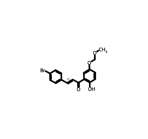 COCOc1ccc(O)c(C(=O)/C=C/c2ccc(Br)cc2)c1